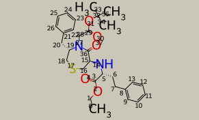 CCOC(=O)[C@@H](CCc1ccccc1)N[C@H]1CSC[C@H](Cc2ccccc2)N(CC(=O)OC(C)(C)C)C1=O